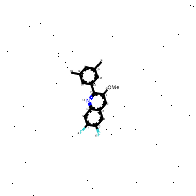 COc1cc2cc(F)c(F)cc2nc1-c1cc(C)cc(C)c1